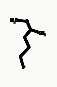 COC(C)CCC[S]